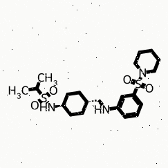 CC(C)S(=O)(=O)N[C@H]1CC[C@H](CNc2cccc(S(=O)(=O)N3CCCCC3)c2)CC1